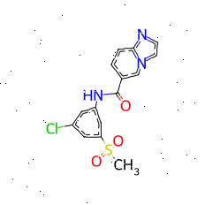 CS(=O)(=O)c1cc(Cl)cc(NC(=O)c2ccc3nccn3c2)c1